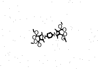 CCOC(=O)c1c(C(=O)OCC)c(C)n(-c2ccc(-n3c(C)c(C(=O)OCC)c(C(=O)OCC)c3C)cc2)c1C